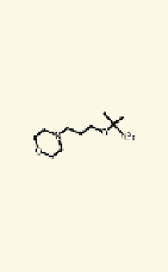 CCCC(C)(C)OCCCN1CCOCC1